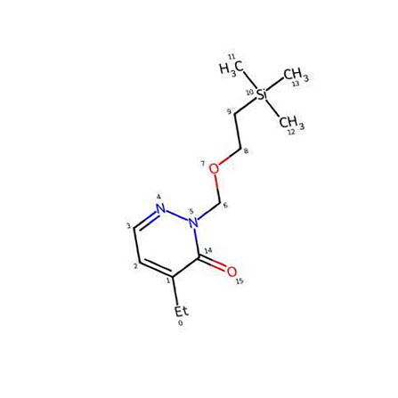 CCc1ccnn(COCC[Si](C)(C)C)c1=O